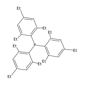 CCc1cc(CC)c(P(c2c(CC)cc(CC)cc2CC)c2c(CC)cc(CC)cc2CC)c(CC)c1